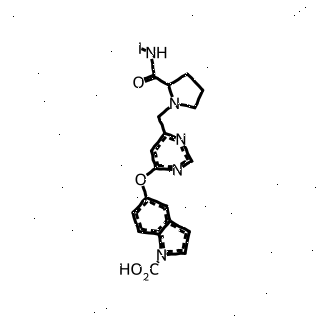 O=C(NI)C1CCCN1Cc1cc(Oc2ccc3c(ccn3C(=O)O)c2)ncn1